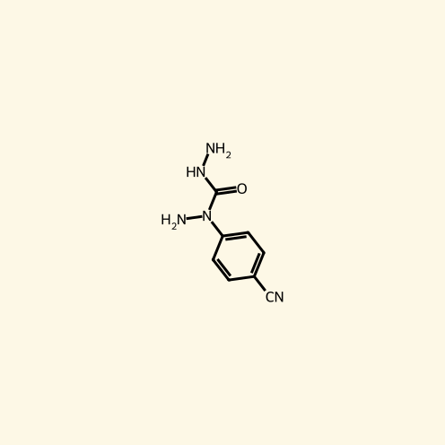 N#Cc1ccc(N(N)C(=O)NN)cc1